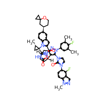 Cc1cc(-n2nc3c(c2-n2ccn(-c4ccc5c(cnn5C)c4F)c2=O)[C@@H]2CC[C@H](C3)N2C(=O)c2cc3cc([C@@H]4CCOC5(CC5)C4)ccc3n2[C@]2(c3noc(=O)[nH]3)C[C@@H]2C)cc(C)c1F